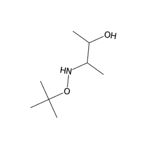 CC(O)C(C)NOC(C)(C)C